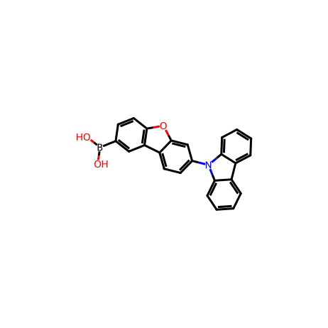 OB(O)c1ccc2oc3cc(-n4c5ccccc5c5ccccc54)ccc3c2c1